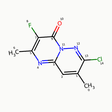 Cc1cc2nc(C)c(F)c(=O)n2nc1Cl